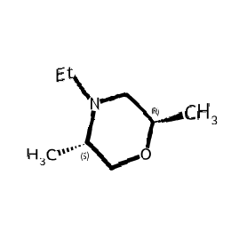 CCN1C[C@@H](C)OC[C@@H]1C